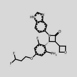 O=C1C(C2COC2)[C@H](c2c(F)cc(OCCC(F)F)cc2P)N1c1ccc2[nH]cnc2c1